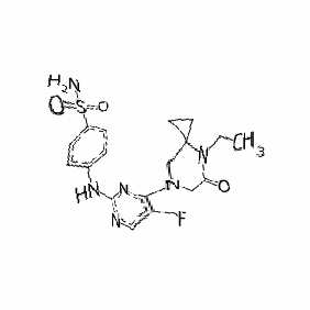 CCN1C(=O)CN(c2nc(Nc3ccc(S(N)(=O)=O)cc3)ncc2F)CC12CC2